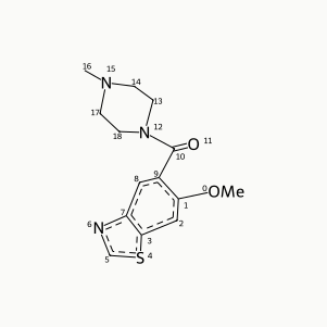 COc1cc2scnc2cc1C(=O)N1CCN(C)CC1